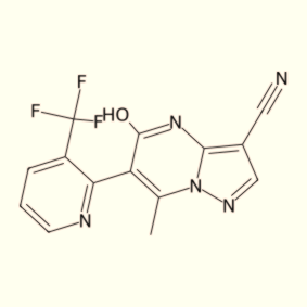 Cc1c(-c2ncccc2C(F)(F)F)c(O)nc2c(C#N)cnn12